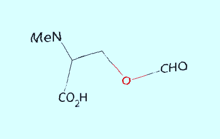 CNC(COC=O)C(=O)O